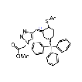 COC(=O)Cn1cc(/C=C2\CN(C(c3ccccc3)(c3ccccc3)c3ccccc3)CCC2SC(C)=O)nn1